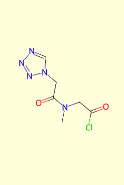 CN(CC(=O)Cl)C(=O)Cn1cnnn1